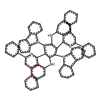 c1ccc(Nc2c(-c3nc(-c4ccccc4)cc(-c4ccccc4)n3)c(-n3c4ccccc4c4ccccc43)c(Nc3ccccc3)c(-c3nc(-c4ccccc4)cc(-c4ccccc4)n3)c2-n2c3ccccc3c3ccccc32)cc1